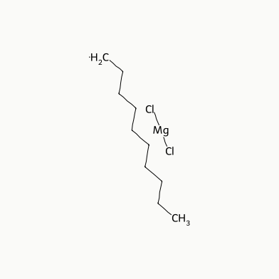 [CH2]CCCCCCCCC.[Cl][Mg][Cl]